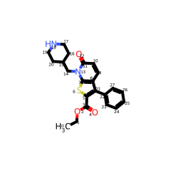 CCOC(=O)c1sc2c(ccc(=O)n2CC2CCNCC2)c1-c1ccccc1